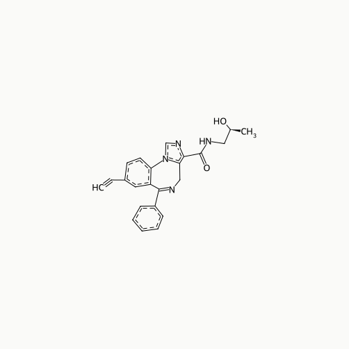 C#Cc1ccc2c(c1)C(c1ccccc1)=NCc1c(C(=O)NC[C@H](C)O)ncn1-2